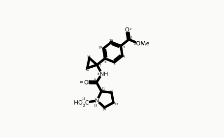 COC(=O)c1ccc(C2(NC(=O)C3CCCN3C(=O)O)CC2)cc1